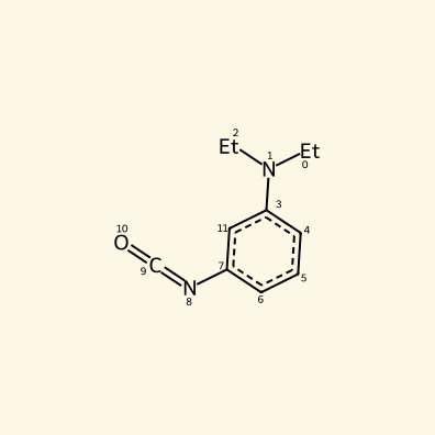 CCN(CC)c1cccc(N=C=O)c1